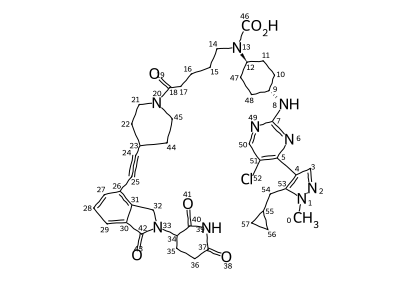 Cn1ncc(-c2nc(N[C@H]3CC[C@H](N(CCCCC(=O)N4CCC(C#Cc5cccc6c5CN(C5CCC(=O)NC5=O)C6=O)CC4)C(=O)O)CC3)ncc2Cl)c1CC1CC1